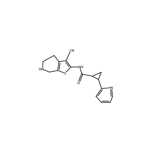 N#Cc1c(NC(=O)C2CC2c2ccccn2)sc2c1CCNC2